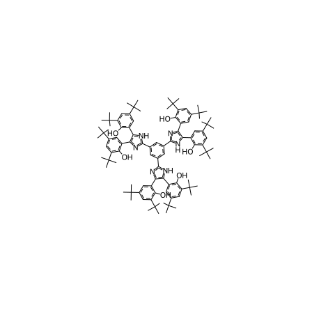 CC(C)(C)c1cc(-c2nc(-c3cc(-c4nc(-c5cc(C(C)(C)C)cc(C(C)(C)C)c5O)c(-c5cc(C(C)(C)C)cc(C(C)(C)C)c5O)[nH]4)cc(-c4nc(-c5cc(C(C)(C)C)cc(C(C)(C)C)c5O)c(-c5cc(C(C)(C)C)cc(C(C)(C)C)c5O)[nH]4)c3)[nH]c2-c2cc(C(C)(C)C)cc(C(C)(C)C)c2O)c(O)c(C(C)(C)C)c1